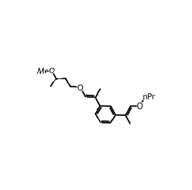 CCCOC=C(C)c1cccc(C(C)=COCCC(C)OC)c1